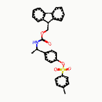 Cc1ccc(S(=O)(=O)Oc2ccc(C(C)NC(=O)OCC3c4ccccc4-c4ccccc43)cc2)cc1